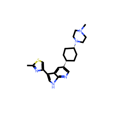 Cc1nc(-c2c[nH]c3ncc([C@H]4CC[C@@H](N5CCN(C)CC5)CC4)cc23)cs1